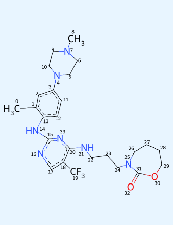 Cc1cc(N2CCN(C)CC2)ccc1Nc1ncc(C(F)(F)F)c(NCCCN2CCCCOC2=O)n1